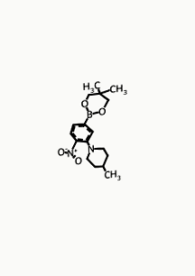 CC1CCN(c2cc(B3OCC(C)(C)CO3)ccc2[N+](=O)[O-])CC1